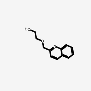 OCCOCc1ccc2ccccc2n1